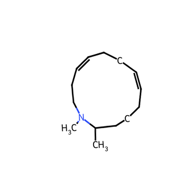 CC1CCC/C=C\CC/C=C\CCN1C